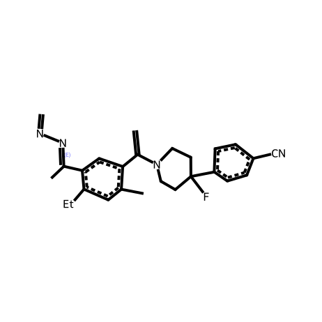 C=N/N=C(\C)c1cc(C(=C)N2CCC(F)(c3ccc(C#N)cc3)CC2)c(C)cc1CC